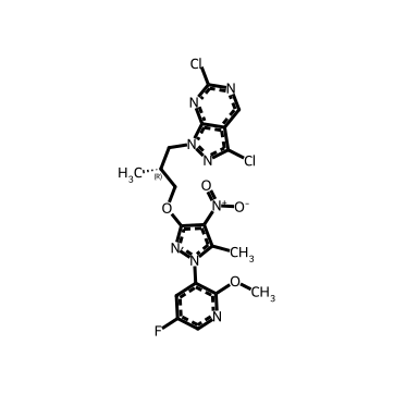 COc1ncc(F)cc1-n1nc(OC[C@H](C)Cn2nc(Cl)c3cnc(Cl)nc32)c([N+](=O)[O-])c1C